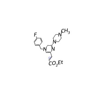 CCOC(=O)/C=C/C1=CN(Cc2ccc(F)cc2)CC(N2CCN(C)CC2)=N1